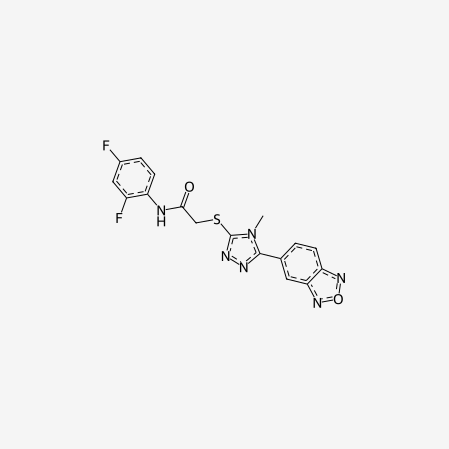 Cn1c(SCC(=O)Nc2ccc(F)cc2F)nnc1-c1ccc2nonc2c1